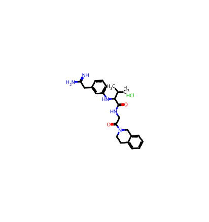 CC(C)C(Nc1cccc(CC(=N)N)c1)C(=O)NCC(=O)N1CCc2ccccc2C1.Cl